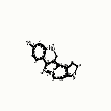 OCc1c(-c2ccc(F)cc2)nn2ccc3c(c12)CCO3